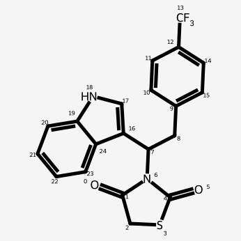 O=C1CSC(=O)N1C(Cc1ccc(C(F)(F)F)cc1)c1c[nH]c2ccccc12